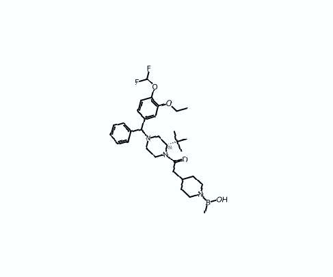 CCOc1cc(C(c2ccccc2)N2CCN(C(=O)CC3CCN(B(C)O)CC3)[C@@H](C(C)(C)C)C2)ccc1OC(F)F